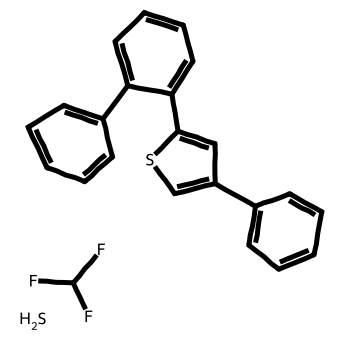 FC(F)F.S.c1ccc(-c2csc(-c3ccccc3-c3ccccc3)c2)cc1